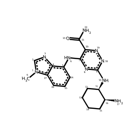 Cn1cnc2c(Nc3nc(N[C@@H]4CCCC[C@@H]4N)nnc3C(N)=O)cccc21